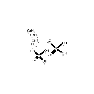 Cl.O=P(O)(O)O.O=P(O)(O)O.[CaH2].[CaH2].[CaH2]